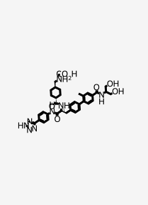 Cc1cc(C(=O)NC(CO)CO)ccc1-c1ccc(C[C@H](NC(=O)[C@H]2CC[C@H](CNC(=O)O)CC2)C(=O)Nc2ccc(-c3nn[nH]n3)cc2)cc1